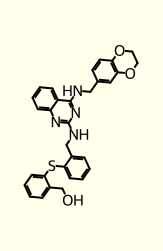 OCc1ccccc1Sc1ccccc1CNc1nc(NCc2ccc3c(c2)OCCO3)c2ccccc2n1